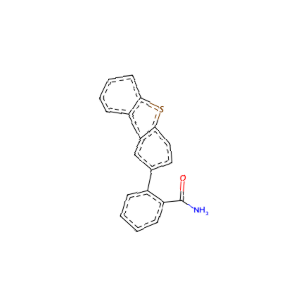 NC(=O)c1ccccc1-c1ccc2sc3ccccc3c2c1